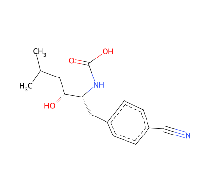 CC(C)C[C@@H](O)[C@@H](Cc1ccc(C#N)cc1)NC(=O)O